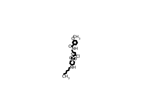 CCCCCCNC1CCN(S(=O)(=O)c2sc(CNC(=O)c3cccc(OC)c3)cc2Cl)CC1